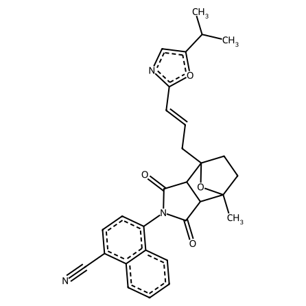 CC(C)c1cnc(C=CCC23CCC(C)(O2)C2C(=O)N(c4ccc(C#N)c5ccccc45)C(=O)C23)o1